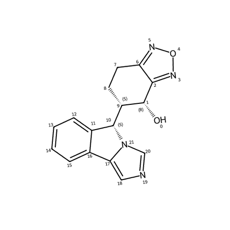 O[C@H]1c2nonc2CC[C@H]1[C@H]1c2ccccc2-c2cncn21